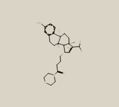 C[C@]12CC[C@@H]3c4ccc(O)cc4CC[C@H]3[C@@H]1[C@H](CCCC(=O)N1CCOCC1)C=C2C(F)F